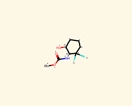 CC(C)(C)OC(=O)N[C@@H]1[C@@H](O)CCCC1(F)F